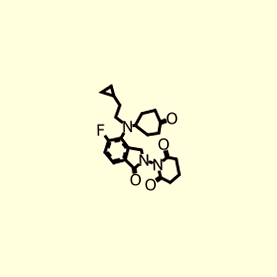 O=C1CCC(N(CCC2CC2)c2c(F)ccc3c2CN(N2C(=O)CCCC2=O)C3=O)CC1